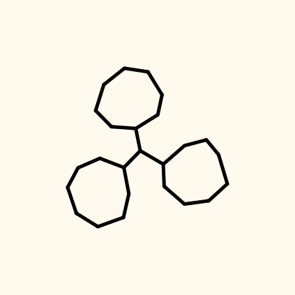 C1CCCC(C(C2CCCCCCC2)C2CCCCCCC2)CCC1